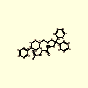 CC(=O)OCC(=O)NCC(CCCN1CCC(c2ccccc2)CC1)(c1ccccc1)c1ccccc1